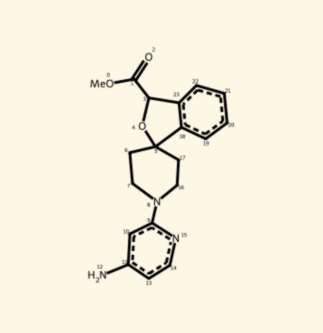 COC(=O)C1OC2(CCN(c3cc(N)ccn3)CC2)c2ccccc21